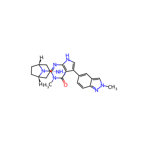 Cn1cc2cc(-c3c[nH]c4nc(N5[C@@H]6CC[C@H]5C[C@@H](N)C6)n(C)c(=O)c34)ccc2n1